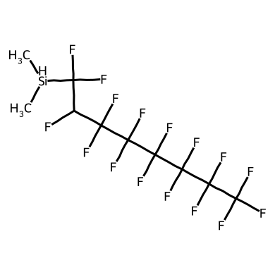 C[SiH](C)C(F)(F)C(F)C(F)(F)C(F)(F)C(F)(F)C(F)(F)C(F)(F)C(F)(F)F